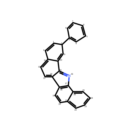 C1=CC(c2ccccc2)C=c2c1ccc1c2=Nc2c-1ccc1ccccc21